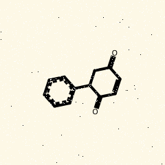 O=C1C=CC(=O)C(c2ccccc2)C1